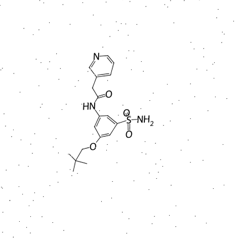 CC(C)(C)COc1cc(NC(=O)Cc2cccnc2)cc(S(N)(=O)=O)c1